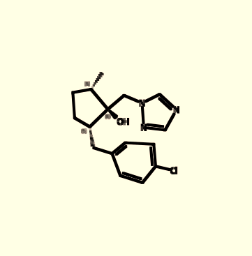 C[C@H]1CC[C@@H](Cc2ccc(Cl)cc2)[C@@]1(O)Cn1cncn1